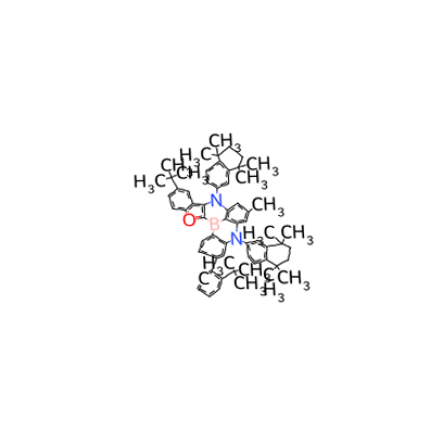 Cc1cc2c3c(c1)N(c1ccc4c(c1)C(C)(C)CCC4(C)C)c1c(oc4ccc(C(C)(C)C)cc14)B3c1ccc(-c3ccccc3C(C)(C)C)cc1N2c1ccc2c(c1)C(C)(C)CCC2(C)C